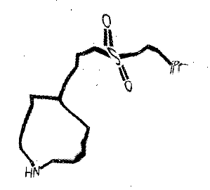 CC(C)CS(=O)(=O)CC1CCNCC1